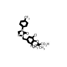 Cc1cc(Cn2ncn(-c3ccc(C(F)(F)F)cc3)c2=O)cc(Cl)c1OC(C)(C)C(=O)O